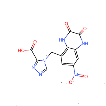 O=C(O)c1nncn1Cc1cc([N+](=O)[O-])cc2[nH]c(=O)c(=O)[nH]c12